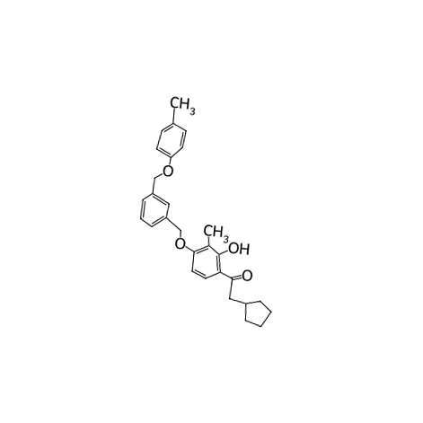 Cc1ccc(OCc2cccc(COc3ccc(C(=O)CC4CCCC4)c(O)c3C)c2)cc1